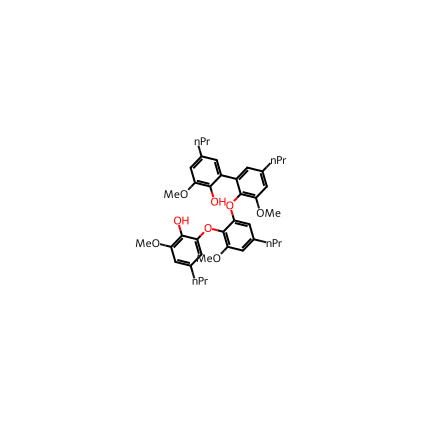 CCCc1cc(OC)c(O)c(Oc2c(OC)cc(CCC)cc2Oc2c(OC)cc(CCC)cc2-c2cc(CCC)cc(OC)c2O)c1